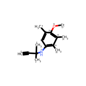 C#CC(C)(C)Nc1cc(C)c(OCC)c(C)c1C